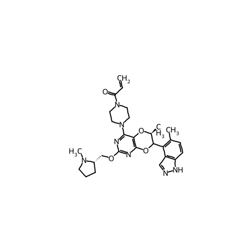 C=CC(=O)N1CCN(c2nc(OC[C@@H]3CCCN3C)nc3c2O[C@@H](C)C(c2c(C)ccc4[nH]ncc24)O3)CC1